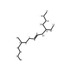 CCCCC(C)CCC=CCC(CC)CCCC